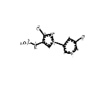 O=C(O)Nc1cn(-c2cncc(Cl)c2)nc1Cl